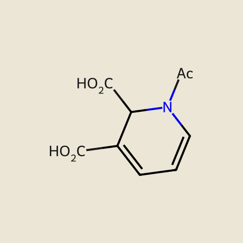 CC(=O)N1C=CC=C(C(=O)O)C1C(=O)O